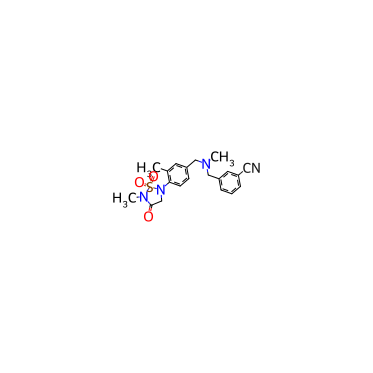 Cc1cc(CN(C)Cc2cccc(C#N)c2)ccc1N1CC(=O)N(C)S1(=O)=O